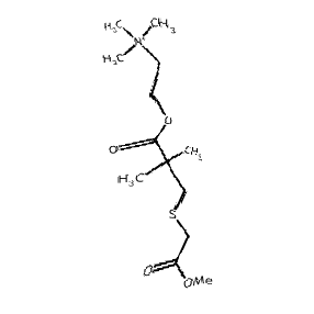 COC(=O)CSCC(C)(C)C(=O)OCC[N+](C)(C)C